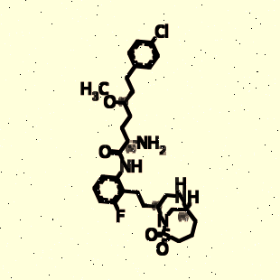 CO[C@@H](CCc1ccc(Cl)cc1)CC[C@H](N)C(=O)Nc1cccc(F)c1CC[C@H]1CN[C@@H]2CCCS(=O)(=O)N1C2